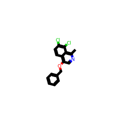 Cc1ncc(OCc2ccccc2)c2ccc(Cl)c(Cl)c12